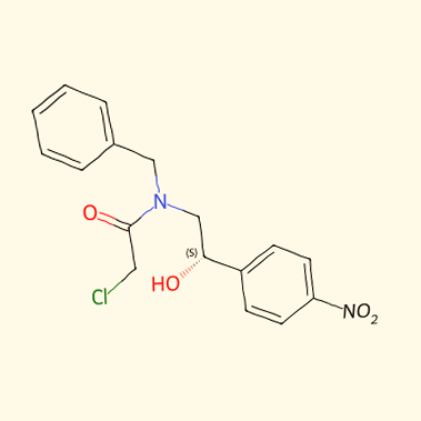 O=C(CCl)N(Cc1ccccc1)C[C@@H](O)c1ccc([N+](=O)[O-])cc1